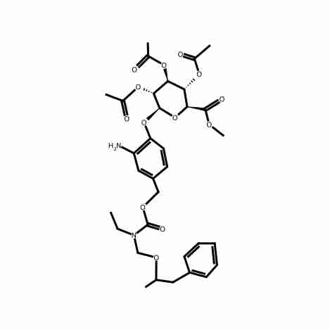 CCN(COC(C)Cc1ccccc1)C(=O)OCc1ccc(O[C@@H]2O[C@H](C(=O)OC)[C@@H](OC(C)=O)[C@H](OC(C)=O)[C@H]2OC(C)=O)c(N)c1